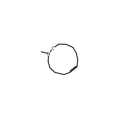 CN1CCCC/C=C\CCCCCC1